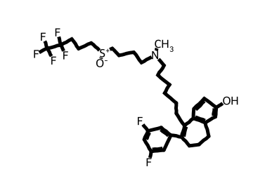 CN(CCCCCCC1=C(c2cc(F)cc(F)c2)CCCc2cc(O)ccc21)CCCC[S+]([O-])CCCC(F)(F)C(F)(F)F